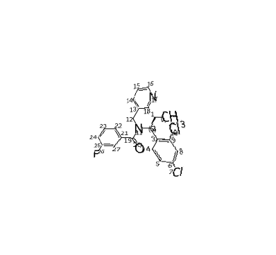 CC[C@@H](c1ccc(Cl)cc1Cl)N(Cc1cccnc1)C(=O)c1cccc(F)c1